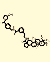 CC1(C)C(O)CCC2(C)C1CCC1(C)C2CCC2C3CCCC3(C(=O)NCCc3cccc(C(=O)NCC4C=CC(C(=O)N5CCC(O)C5)=CC4)c3)CC[C@]21C